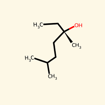 CC[C@](C)(O)CCC(C)C